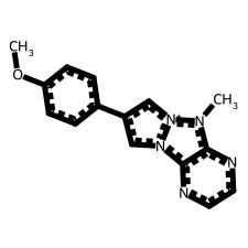 COc1ccc(-c2cn3c4nccnc4n(C)[n+]3c2)cc1